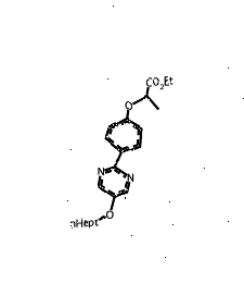 CCCCCCCOc1cnc(-c2ccc(OC(C)C(=O)OCC)cc2)nc1